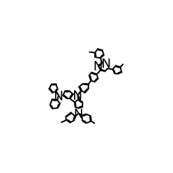 Cc1ccc(N(c2ccc(C)cc2)c2ccc3c(c2)c2cc(N(c4ccccc4)c4ccccc4)ccc2n3-c2ccc(-c3ccc(-c4cc(-c5cccc(C)c5)nc(-c5cccc(C)c5)n4)cc3)cc2)cc1